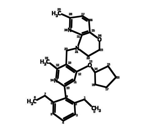 CCc1cccc(CC)c1-c1cc(OC2CCCC2)c(CN2CCOc3ccc(C)nc32)c(C)n1